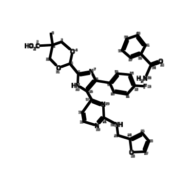 CC1(C(=O)O)COC(c2nc(-c3ccc(F)cc3)c(-c3ccnc(NCc4ccco4)n3)[nH]2)OC1.NC(=O)c1ccccc1